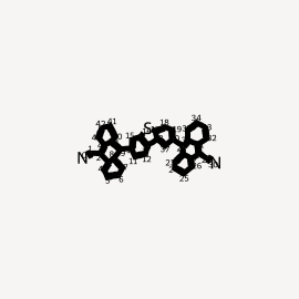 N#Cc1c2ccccc2c(-c2ccc3c(c2)sc2ccc(-c4c5ccccc5c(C#N)c5ccccc45)cc23)c2ccccc12